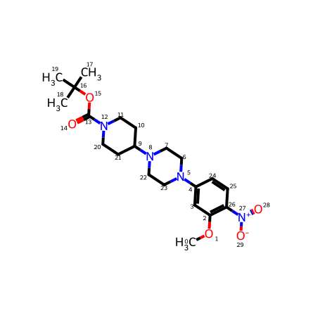 COc1cc(N2CCN(C3CCN(C(=O)OC(C)(C)C)CC3)CC2)ccc1[N+](=O)[O-]